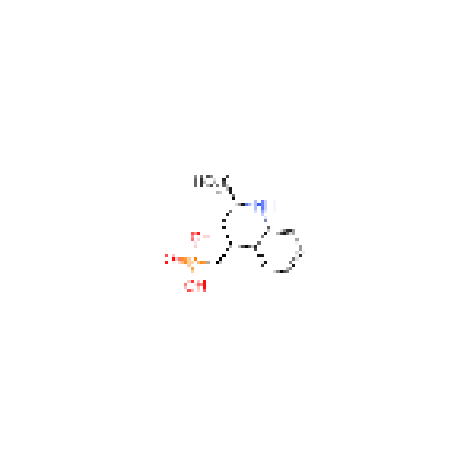 O=C(O)[C@@H]1C[C@H](CP(=O)(O)O)c2ccccc2N1